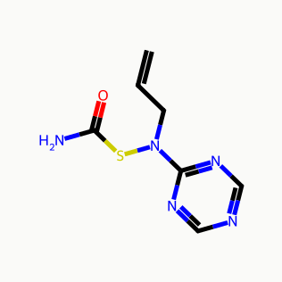 C=CCN(SC(N)=O)c1ncncn1